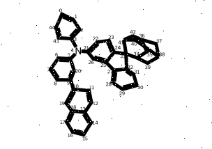 c1ccc(N(c2cccc(-c3ccc4ccccc4c3)c2)c2ccc3c(c2)-c2ccccc2C32C3CC4CC(C3)CC2C4)cc1